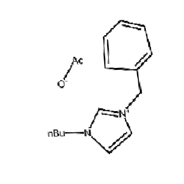 CC(=O)[O-].CCCCn1cc[n+](Cc2ccccc2)c1